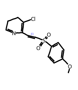 COc1ccc(S(=O)(=O)/C=C/C2=C(Cl)CCC=N2)cc1